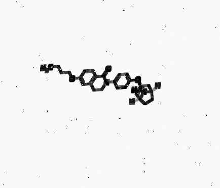 CCCCOc1ccc2c(c1)CCN(c1ccc(O[C@H]3C[C@H]4CC[C@@H](C3)N4C)cc1)C2=O